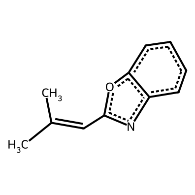 CC(C)=Cc1nc2ccccc2o1